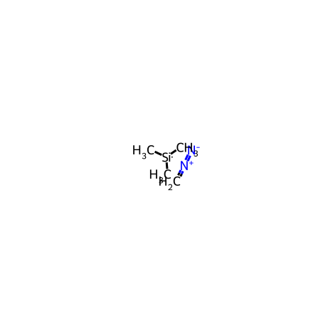 C=[N+]=[N-].C[Si](C)C